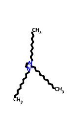 CCCCCCCCCCCc1n(CCCCCCCCCCC)cc[n+]1CCCCCCCCCCC